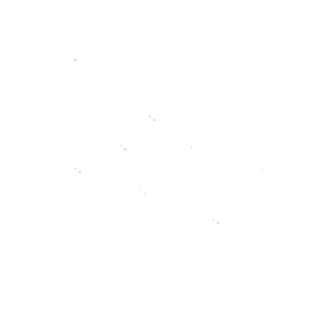 CC(C)(C)c1ccc(Nc2nc(CN3CCCC3C(=O)O)nc3cc(-c4ncccc4C(F)(F)F)cnc23)cc1